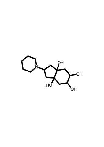 OC1CC2(O)CC(N3CCCCC3)CC2(O)CC1O